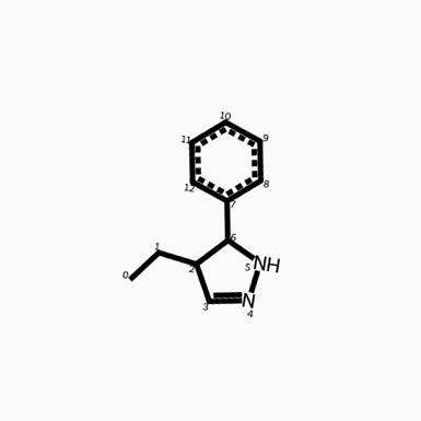 CCC1C=NNC1c1ccccc1